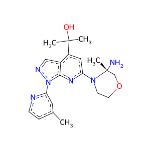 Cc1ccnc(-n2ncc3c(C(C)(C)O)cc(N4CCOC[C@@]4(C)N)nc32)c1